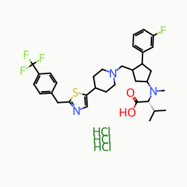 CC(C)[C@H](C(=O)O)N(C)C1CC(CN2CCC(c3cnc(Cc4ccc(C(F)(F)F)cc4)s3)CC2)C(c2cccc(F)c2)C1.Cl.Cl.Cl